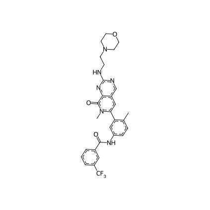 Cc1ccc(NC(=O)c2cccc(C(F)(F)F)c2)cc1-c1cc2cnc(NCCN3CCOCC3)nc2c(=O)n1C